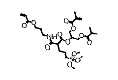 C=CC(=O)OCCCNC(=O)C(CCC[Si](OC)(OC)OC)C(=O)OC(COC(=O)C(=C)C)COC(=O)C(C)C